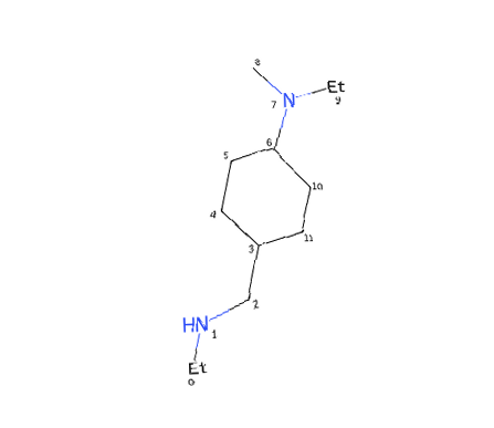 CCNCC1CCC(N(C)CC)CC1